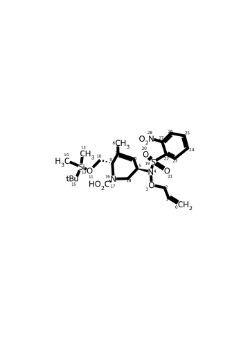 C=CCON([C@@H]1C=C(C)[C@@H](CO[Si](C)(C)C(C)(C)C)N(C(=O)O)C1)S(=O)(=O)c1ccccc1[N+](=O)[O-]